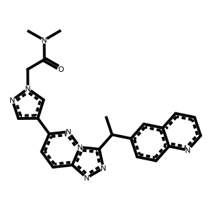 CC(c1ccc2ncccc2c1)c1nnc2ccc(-c3cnn(CC(=O)N(C)C)c3)nn12